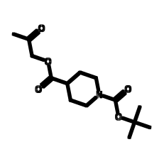 CC(=O)COC(=O)C1CCN(C(=O)OC(C)(C)C)CC1